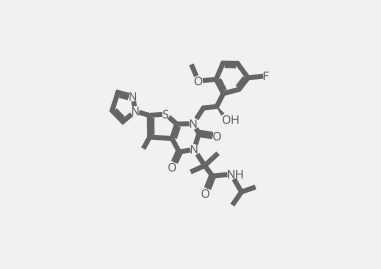 COc1ccc(F)cc1[C@@H](O)Cn1c(=O)n(C(C)(C)C(=O)NC(C)C)c(=O)c2c(C)c(-n3cccn3)sc21